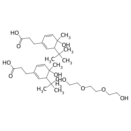 CC(C)(C)C1C=C(CCC(=O)O)C=CC1(C)O.CC(C)(C)C1C=C(CCC(=O)O)C=CC1(C)O.OCCOCCOCCO